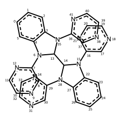 c1ccc2c(c1)N(c1cnccn1)C(C1N(c3cnccn3)c3ccccc3N1c1cnccn1)N2c1cnccn1